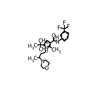 Cc1c(C(=O)Nc2cccc(C(F)(F)F)c2)cc(C(C)(C)C)n1CCC(C)N1CCOCC1